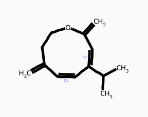 C=C1/C=C\C(C(C)C)=C/C(=C)OCC1